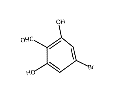 O=Cc1c(O)cc(Br)cc1O